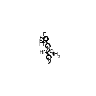 CCN1CCC(C(=N)C(=O)N2CCC(c3ccc(F)c(F)c3C(F)(F)F)CC2)=C(N)C1